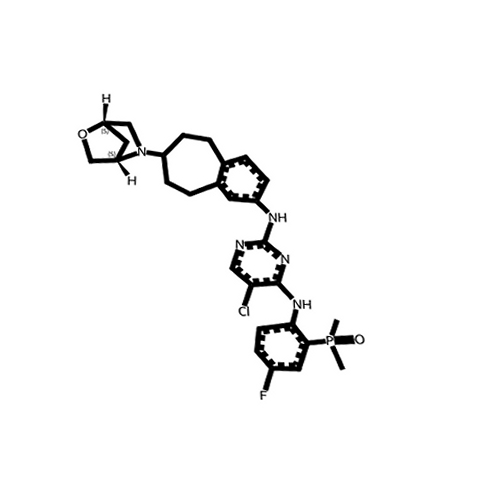 CP(C)(=O)c1cc(F)ccc1Nc1nc(Nc2ccc3c(c2)CCC(N2C[C@@H]4C[C@H]2CO4)CC3)ncc1Cl